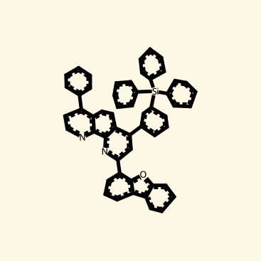 c1ccc(-c2ccnc3c2ccc2c(-c4cccc([Si](c5ccccc5)(c5ccccc5)c5ccccc5)c4)cc(-c4cccc5c4oc4ccccc45)nc23)cc1